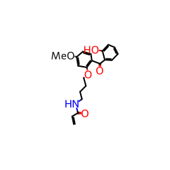 C=CC(=O)NCCCCOc1cc(OC)ccc1C(=O)c1ccccc1O